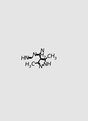 Cc1n[nH]c(C)c1/C(N)=N\C=N